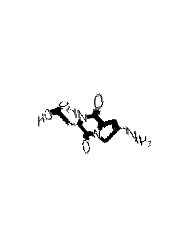 N[C@H]1CC2C(=O)N[C@@H](CC(=O)O)C(=O)N2C1